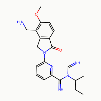 CCC(C)N(C=N)C(=N)c1cccc(N2Cc3c(ccc(OC)c3CN)C2=O)n1